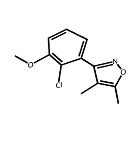 COc1cccc(-c2noc(C)c2C)c1Cl